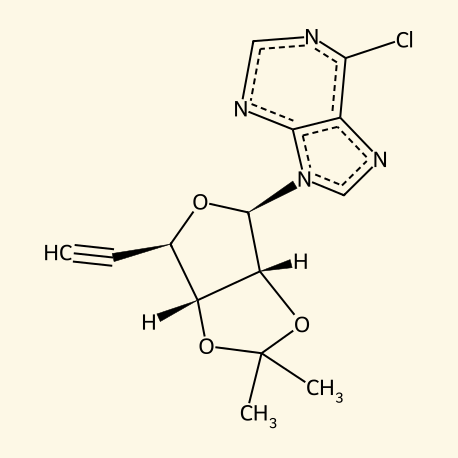 C#C[C@H]1O[C@@H](n2cnc3c(Cl)ncnc32)[C@@H]2OC(C)(C)O[C@@H]21